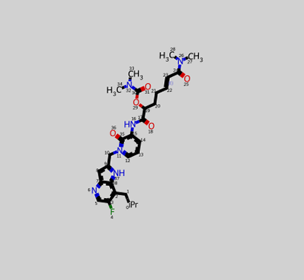 CC(C)Cc1c(F)cnc2cc(Cn3cccc(NC(=O)C(CC/C=C/C(=O)N(C)C)OC(=O)N(C)C)c3=O)[nH]c12